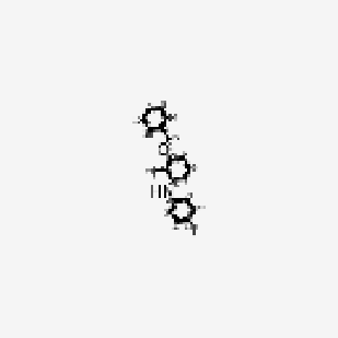 Fc1ccc(Nc2cccc(OCc3ccccc3)c2I)cc1